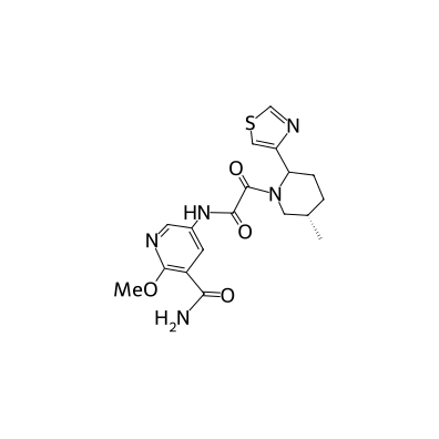 COc1ncc(NC(=O)C(=O)N2C[C@@H](C)CCC2c2cscn2)cc1C(N)=O